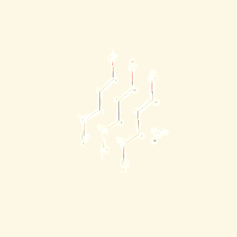 CCOCCC[O-].CCOCCC[O-].CCOCCC[O-].[Fe+3]